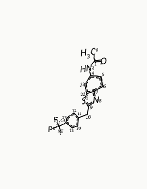 CC(=O)Nc1ccc2nc(Cc3ccc(C(F)(F)F)cc3)sc2c1